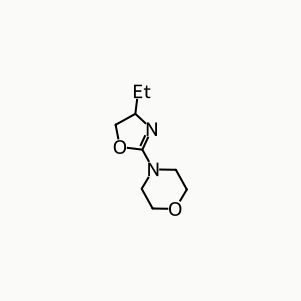 CCC1COC(N2CCOCC2)=N1